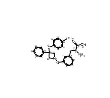 N[C@@H](Cc1cccc(SN2CC(Oc3ccc(F)cc3)(c3ccccc3)C2)c1)C(=O)O